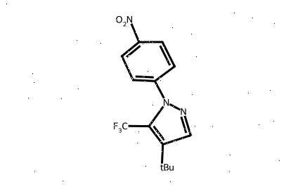 CC(C)(C)c1cnn(-c2ccc([N+](=O)[O-])cc2)c1C(F)(F)F